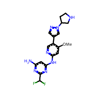 COc1cc(Nc2cc(N)nc(C(F)F)n2)ncc1-c1cnn(C2CCNC2)c1